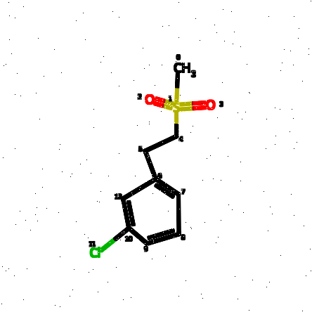 CS(=O)(=O)CCc1cccc(Cl)c1